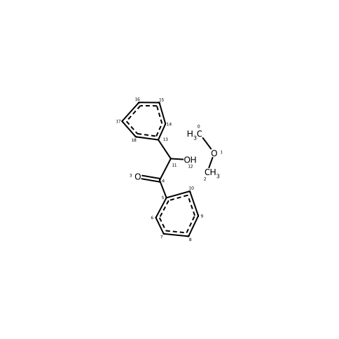 COC.O=C(c1ccccc1)C(O)c1ccccc1